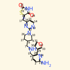 Nc1ccc(CNCC2CCN(c3nccc(/C=C4/SC(=O)NC4=O)n3)CC2)c(-c2ccoc2)n1